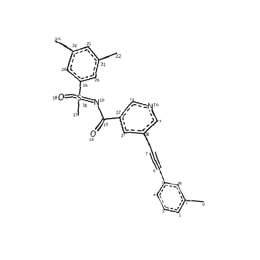 Cc1cccc(C#Cc2cncc(C(=O)N=S(C)(=O)c3cc(C)cc(C)c3)c2)c1